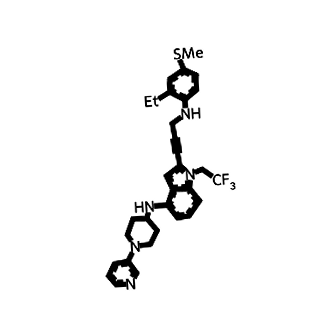 CCc1cc(SC)ccc1NCC#Cc1cc2c(NC3CCN(c4cccnc4)CC3)cccc2n1CC(F)(F)F